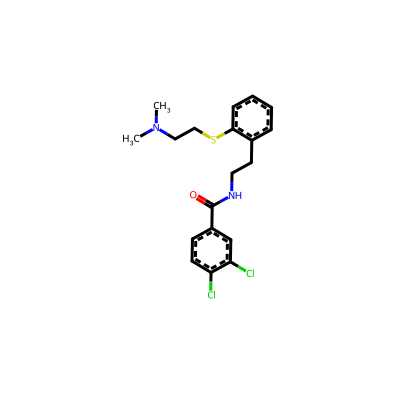 CN(C)CCSc1ccccc1CCNC(=O)c1ccc(Cl)c(Cl)c1